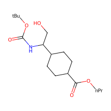 CCCOC(=O)C1CCC(C(CO)NC(=O)OC(C)(C)C)CC1